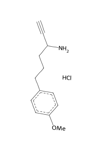 C#CC(N)CCCc1ccc(OC)cc1.Cl